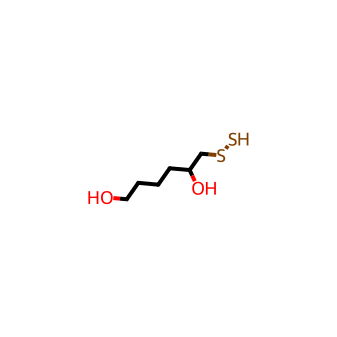 OCCCCC(O)CSS